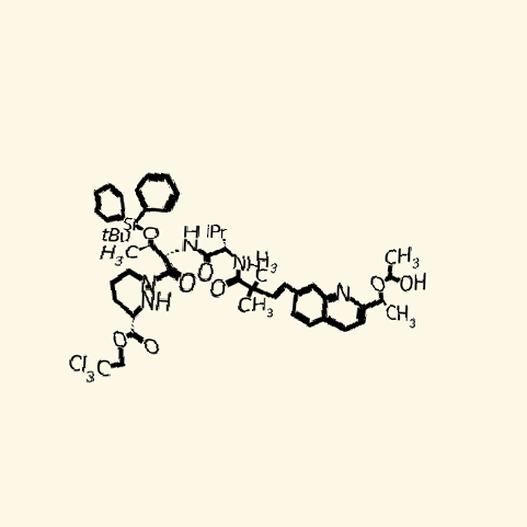 CC(O)O[C@H](C)c1ccc2ccc(/C=C/C(C)(C)C(=O)N[C@H](C(=O)N[C@H](C(=O)N3CCC[C@@H](C(=O)OCC(Cl)(Cl)Cl)N3)[C@@H](C)O[Si](c3ccccc3)(c3ccccc3)C(C)(C)C)C(C)C)cc2n1